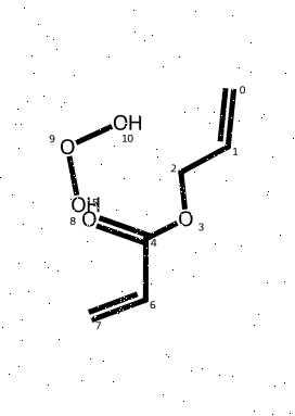 C=CCOC(=O)C=C.OOO